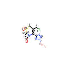 Bn1nnc(C2=C(CCl)C[S+]([O-])[C@@H]3CC(=O)N23)n1